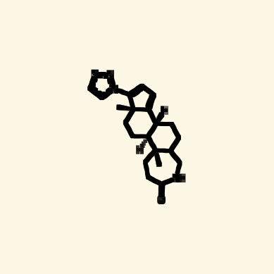 C[C@]12CC[C@H]3[C@@H](CCC4CNC(=O)CC[C@@]43C)C1=CC=C2n1ccnn1